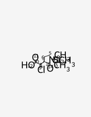 C[Si](C)(C)N1CCC(C(Cl)C(=O)O)C1=O